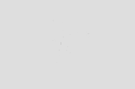 O=P(Oc1ccccc1)(Oc1ccccc1)Oc1ccccc1.[Se]